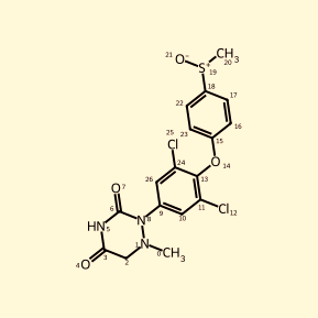 CN1CC(=O)NC(=O)N1c1cc(Cl)c(Oc2ccc([S+](C)[O-])cc2)c(Cl)c1